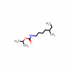 CCC(C)CCCCNC(=O)OC(C)C